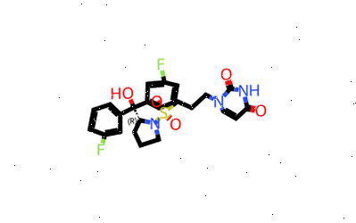 O=c1ccn(CCCS(=O)(=O)N2CCC[C@@H]2C(O)(c2cccc(F)c2)c2cccc(F)c2)c(=O)[nH]1